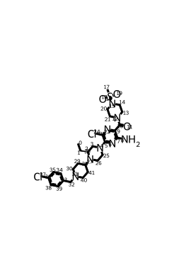 CC[C@H]1CN(c2nc(N)c(C(=O)N3CCN(S(C)(=O)=O)CC3)nc2Cl)CCN1C1CCN(Cc2ccc(Cl)cc2)CC1